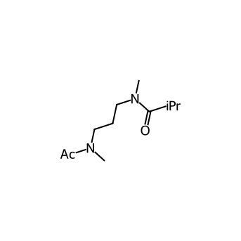 CC(=O)N(C)CCCN(C)C(=O)C(C)C